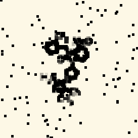 COc1cccc2c1n(Cc1ccccc1C(F)(F)F)c(=O)n2C1CCN(c2c(C#N)c(C)nn2C)C1